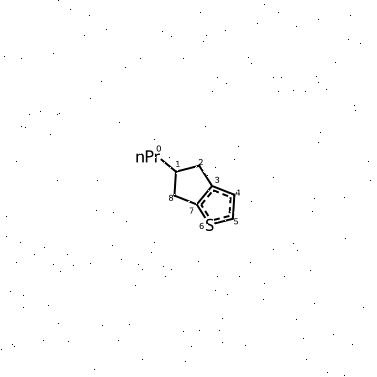 CCCC1Cc2ccsc2C1